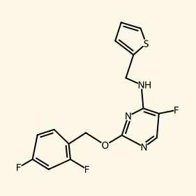 Fc1ccc(COc2ncc(F)c(NCc3cccs3)n2)c(F)c1